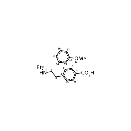 CCNCCc1ccc(C(=O)O)cc1.COc1ccccc1